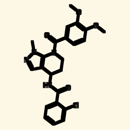 COc1ccc(C(=O)N2CCC(NC(=O)c3ccccc3Cl)c3cnn(C)c32)cc1OC